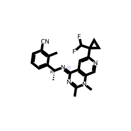 Cc1c(C#N)cccc1[C@@H](C)/N=c1\nc(C)n(C)c2cnc(C3(C(F)F)CC3)cc12